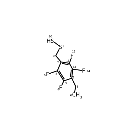 CCc1c(F)c(F)c(CSS)c(F)c1F